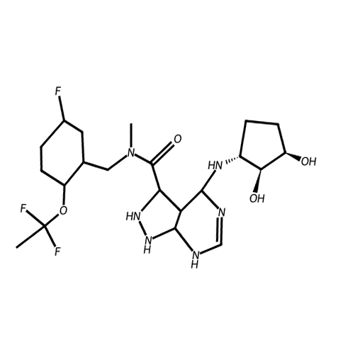 CN(CC1CC(F)CCC1OC(C)(F)F)C(=O)C1NNC2NC=NC(N[C@@H]3CC[C@@H](O)[C@H]3O)C21